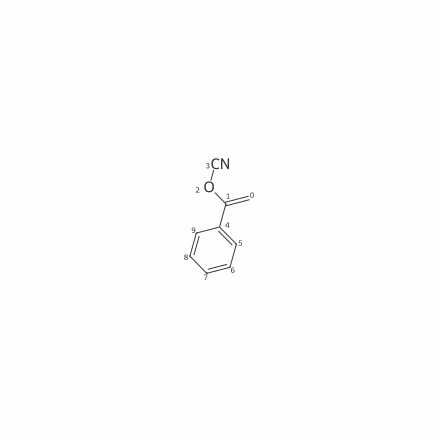 C=C(OC#N)c1ccccc1